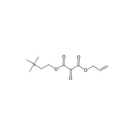 C=CCOC(=O)C(=O)C(=O)OCC[Si](C)(C)C